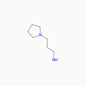 [NH]CCCN1CCCC1